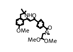 COc1ccc2c(c1)C(=CC(=O)c1ccc(C(=O)N(C)CC(OC)OC)cc1)NC(C)(C)C2